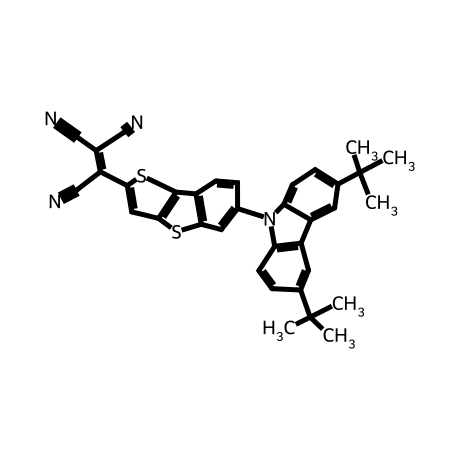 CC(C)(C)c1ccc2c(c1)c1cc(C(C)(C)C)ccc1n2-c1ccc2c(c1)sc1cc(C(C#N)=C(C#N)C#N)sc12